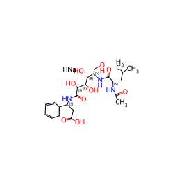 CC(=O)N[C@@H](CC(C)C)C(=O)N[C@@H](CO)[C@@H](O)[C@@H](O)[C@H](O)C(=O)N[C@@H](CC(=O)O)c1ccccc1.[NaH]